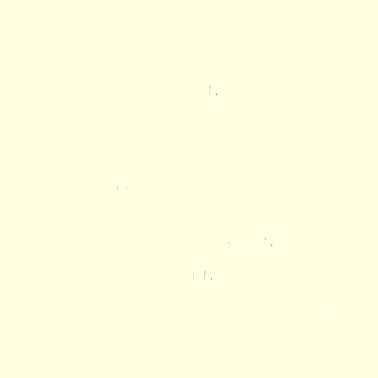 Cc1cnc(-c2cc(OC3CCOCC3)cc(C(N)=O)c2C(C)c2ncc(Cl)cc2F)s1